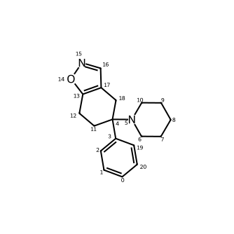 c1ccc(C2(N3CCCCC3)CCc3oncc3C2)cc1